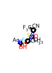 CC(=O)N1CC(O)C(Oc2ccc(N3C(=S)N(c4ccc(C#N)c(C(F)(F)F)c4)C(=O)C3(C)C)cc2F)C1